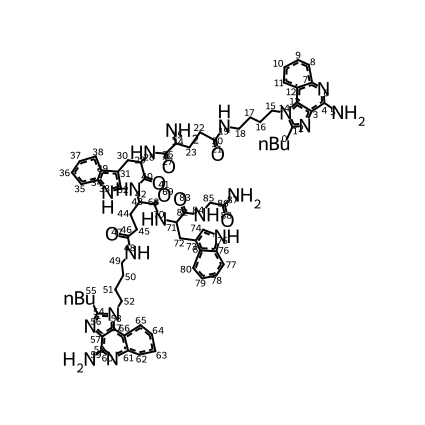 CCCCc1nc2c(N)nc3ccccc3c2n1CCCCNC(=O)CCC(N)C(=O)NC(Cc1c[nH]c2ccccc12)C(=O)NC(CCC(=O)NCCCCn1c(CCCC)nc2c(N)nc3ccccc3c21)C(=O)NC(Cc1c[nH]c2ccccc12)C(=O)NCC(N)=O